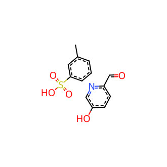 Cc1cccc(S(=O)(=O)O)c1.O=Cc1ccc(O)cn1